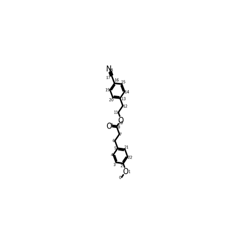 COc1ccc(CCC(=O)OCCc2ccc(C#N)cc2)cc1